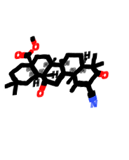 COC(=O)[C@]12CCC(C)(C)C[C@H]1[C@H]1C(=O)C=C3[C@@]4(C)C(C)=C(C#N)C(=O)C(C)(C)[C@@H]4CC[C@@]3(C)[C@]1(C)CC2